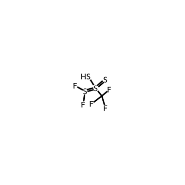 FS(F)=S(=S)(S)C(F)(F)F